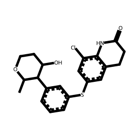 CC1OCCC(O)C1c1cccc(Sc2cc(Cl)c3c(c2)CCC(=O)N3)c1